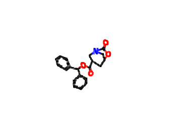 O=C(OC(c1ccccc1)c1ccccc1)C1CC2CN(C1)C(=O)O2